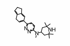 CN(c1ccc(C2=CCC3=CCCC3=C2)nn1)C1CC(C)(C)NC(C)(C)C1